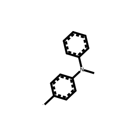 [CH2]c1ccc(N(C)c2ccccc2)cc1